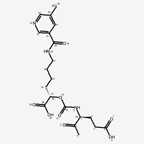 CC(=O)[C@H](CCC(=O)O)NC(=O)O[C@@H](CCCCNC(=O)c1cncc([131I])c1)C(=O)O